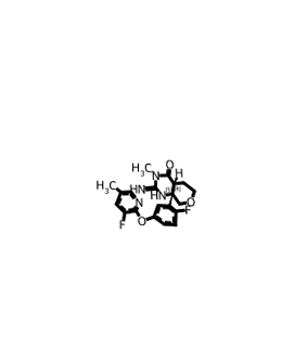 Cc1cnc(Oc2ccc(F)c([C@]34COCC[C@H]3C(=O)N(C)C(=N)N4)c2)c(F)c1